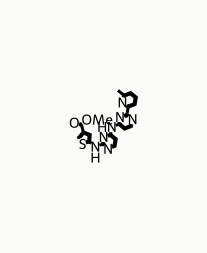 COC(=O)c1csc(Nc2nccc(Nc3ccnc(-c4cccc(C)n4)n3)n2)c1